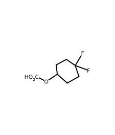 O=C(O)OC1CCC(F)(F)CC1